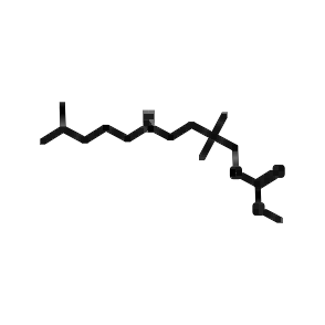 COC(=O)OCC(C)(C)CCNCCCC(C)C